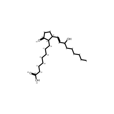 CCCCCCC(O)/C=C/C1CCC(=O)C1CCCCCCCC(=O)O